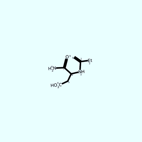 C=C(CC)NC(CC(=O)O)C(N)=O